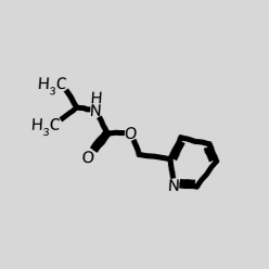 CC(C)NC(=O)OCc1ccccn1